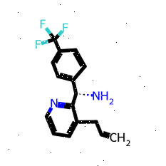 C=CCc1cccnc1[C@@H](N)c1ccc(C(F)(F)F)cc1